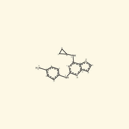 Nc1ccc(Nc2nc(NC3CC3)c3occc3n2)cc1